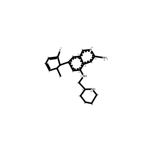 CC1C=CC=C(F)C1c1cc(NCC2CCCCN2)c2cc(N)ncc2c1